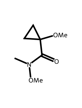 CON(C)C(=O)C1(OC)CC1